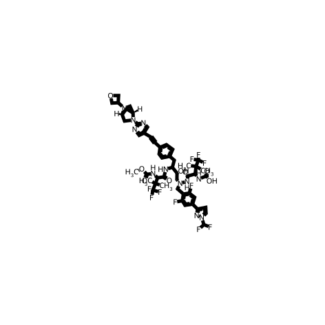 COC(=O)NC(C(=O)NC(Cc1ccc(C#Cc2cnc(N3C[C@H]4C[C@@H]3CN4C3COC3)nc2)cc1)C(O)CN(Cc1c(F)cc(-c2ccn(C(F)F)n2)cc1F)NC(=O)C(NC(=O)O)C(C)(C)C(F)(F)F)C(C)(C)C(F)(F)F